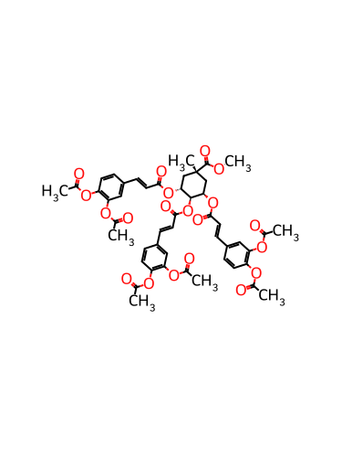 COC(=O)[C@]1(C)C[C@@H](OC(=O)/C=C/c2ccc(OC(C)=O)c(OC(C)=O)c2)[C@@H](OC(=O)/C=C/c2ccc(OC(C)=O)c(OC(C)=O)c2)[C@H](OC(=O)/C=C/c2ccc(OC(C)=O)c(OC(C)=O)c2)C1